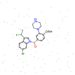 COc1ccc([S+]([O-])n2cc(C(F)F)c3ccc(Br)cc32)cc1N1CCNCC1